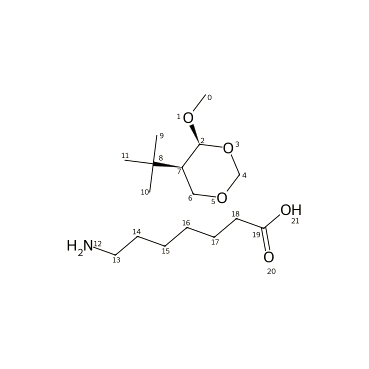 CO[C@H]1OCOC[C@H]1C(C)(C)C.NCCCCCCC(=O)O